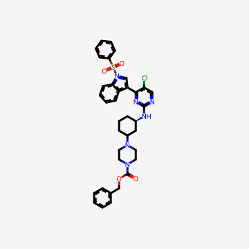 O=C(OCc1ccccc1)N1CCN(C2CCC[C@@H](Nc3ncc(Cl)c(-c4cn(S(=O)(=O)c5ccccc5)c5ccccc45)n3)C2)CC1